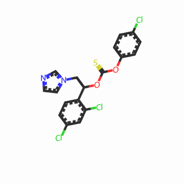 S=C(Oc1ccc(Cl)cc1)OC(Cn1ccnc1)c1ccc(Cl)cc1Cl